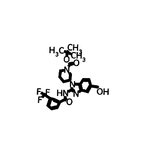 CC(C)(C)OC(=O)N1CCCC(n2c(NC(=O)c3cccc(C(F)(F)F)c3)nc3cc(CO)ccc32)C1